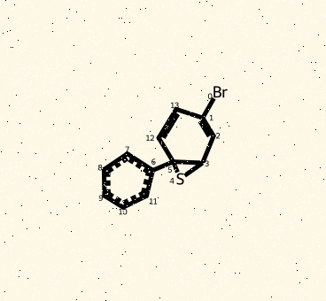 BrC1=CC2SC2(c2ccccc2)C=C1